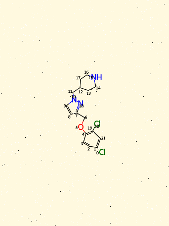 Clc1ccc(OCc2ccn(CC3CCNCC3)n2)c(Cl)c1